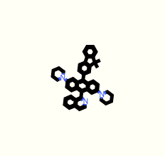 CC1(C)c2ccccc2-c2ccc(-c3c4cc(N5CCCCC5)ccc4c(-c4nccc5ccccc45)c4cc(N5CCCCC5)ccc34)cc21